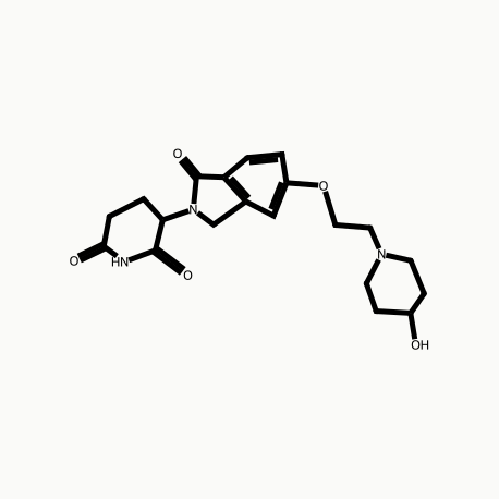 O=C1CCC(N2Cc3cc(OCCN4CCC(O)CC4)ccc3C2=O)C(=O)N1